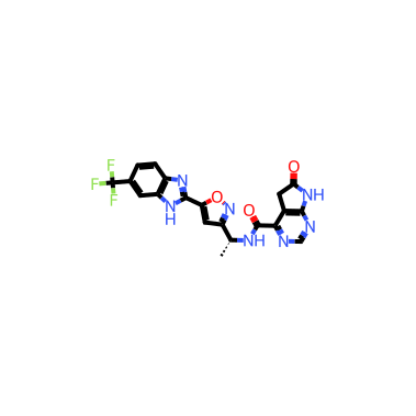 C[C@@H](NC(=O)c1ncnc2c1CC(=O)N2)c1cc(-c2nc3ccc(C(F)(F)F)cc3[nH]2)on1